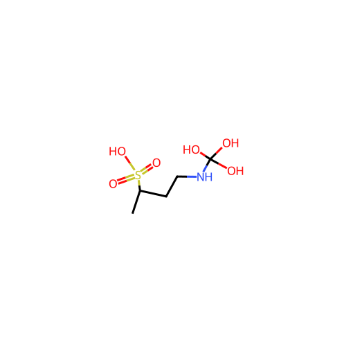 CC(CCNC(O)(O)O)S(=O)(=O)O